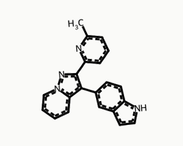 Cc1cccc(-c2nn3ccccc3c2-c2ccc3[nH]ccc3c2)n1